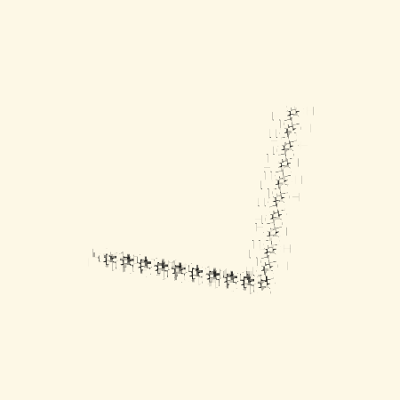 O=P(O)(O)O.O=P(O)(O)O.O=P(O)(O)O.O=P(O)(O)O.O=P(O)(O)O.O=P(O)(O)O.O=P(O)(O)O.O=P(O)(O)O.O=P(O)(O)O.O=P(O)(O)O.O=P(O)(O)O.O=P(O)(O)O.O=P(O)(O)O.O=P(O)(O)O.O=P(O)(O)O.O=P(O)(O)O.O=P(O)(O)O.O=P(O)(O)O.O=P(O)(O)O.O=P([O-])(O)O.[K+]